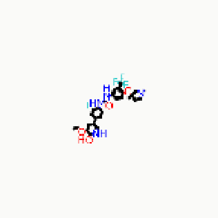 CCOC1=CC(c2ccc(NC(=O)Nc3ccc(OC4(C)CCN(C)C4)c(C(F)(F)F)c3)c(F)c2)=CNC1O